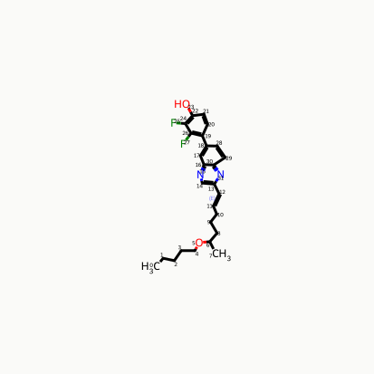 CCCCCOC(C)CCC/C=C/c1cnc2cc(-c3ccc(O)c(F)c3F)ccc2n1